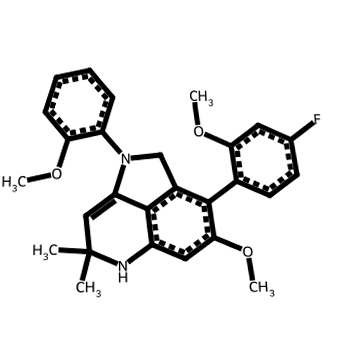 COc1cc(F)ccc1-c1c(OC)cc2c3c1CN(c1ccccc1OC)C3=CC(C)(C)N2